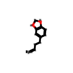 C=CCCc1ccc2c(c1)OCO2